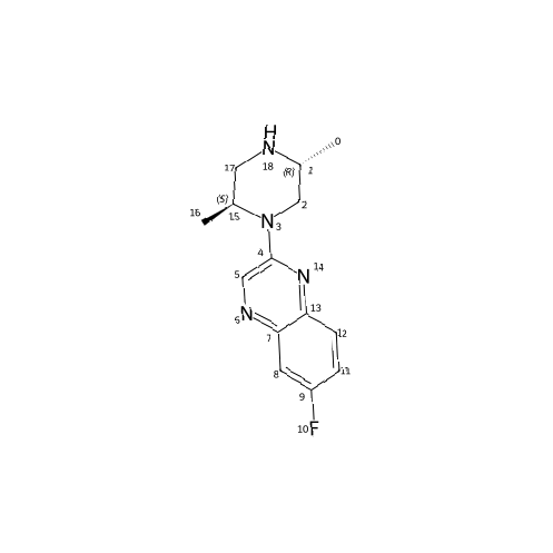 C[C@@H]1CN(c2cnc3cc(F)ccc3n2)[C@@H](C)CN1